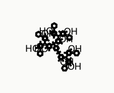 Cc1cc(O)c(C2CCCCC2)cc1C(c1cc(C2CCCCC2)c(O)cc1C)c1cc(C(C)(C)c2ccc(C(C)(c3cc(C)c(O)c(C(c4cc(C5CCCCC5)c(O)cc4C)c4cc(C5CCCCC5)c(O)cc4C)c3)c3cc(C)c(O)c(C(c4cc(C5CCCCC5)c(O)cc4C)c4cc(C5CCCCC5)c(O)cc4C)c3)cc2)cc(C)c1O